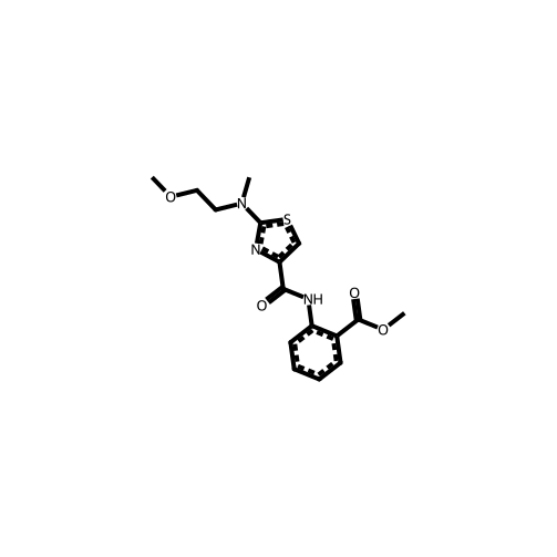 COCCN(C)c1nc(C(=O)Nc2ccccc2C(=O)OC)cs1